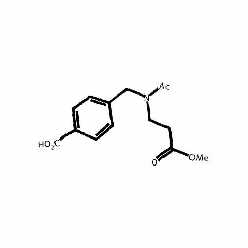 COC(=O)CCN(Cc1ccc(C(=O)O)cc1)C(C)=O